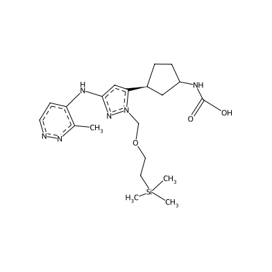 Cc1nnccc1Nc1cc([C@H]2CCC(NC(=O)O)C2)n(COCC[Si](C)(C)C)n1